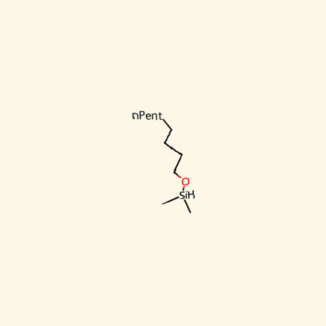 CCCCCCCCCO[SiH](C)C